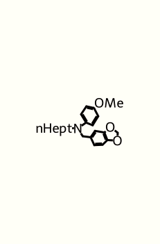 CCCCCCCN(Cc1ccc2c(c1)OCO2)c1ccc(OC)cc1